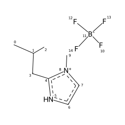 CC(C)Cc1[nH]cc[n+]1C.F[B-](F)(F)F